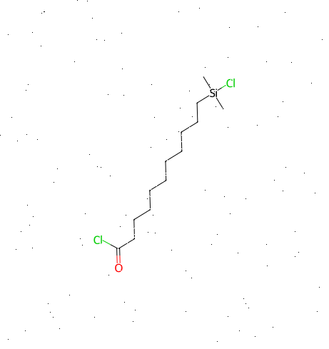 C[Si](C)(Cl)CCCCCCCCCCC(=O)Cl